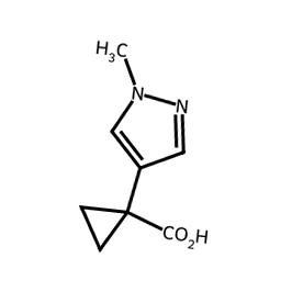 Cn1cc(C2(C(=O)O)CC2)cn1